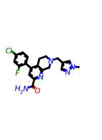 Cn1cc(CN2CCc3c(-c4ccc(Cl)cc4F)cc(C(N)=O)nc3C2)cn1